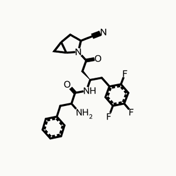 N#CC1CC2CC2N1C(=O)C[C@@H](Cc1cc(F)c(F)cc1F)NC(=O)C(N)Cc1ccccc1